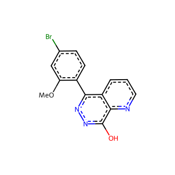 COc1cc(Br)ccc1-c1nnc(O)c2ncccc12